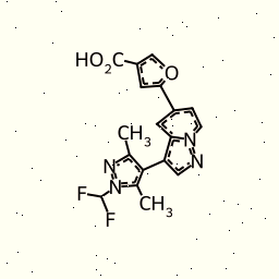 Cc1nn(C(F)F)c(C)c1-c1cnn2ccc(-c3cc(C(=O)O)co3)cc12